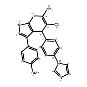 COc1ccc(-c2n[nH]c3c2C(c2ccc(-n4ccnc4)cc2)C(C#N)=C(N)O3)cc1